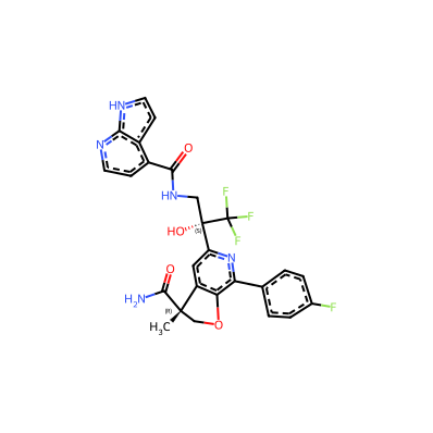 C[C@]1(C(N)=O)COc2c1cc([C@@](O)(CNC(=O)c1ccnc3[nH]ccc13)C(F)(F)F)nc2-c1ccc(F)cc1